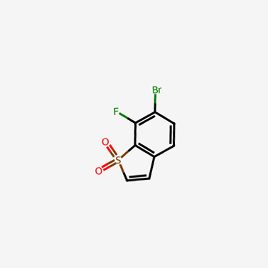 O=S1(=O)C=Cc2ccc(Br)c(F)c21